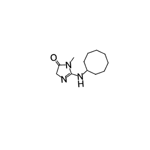 CN1C(=O)CN=C1NC1CCCCCCC1